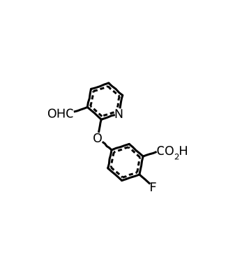 O=Cc1cccnc1Oc1ccc(F)c(C(=O)O)c1